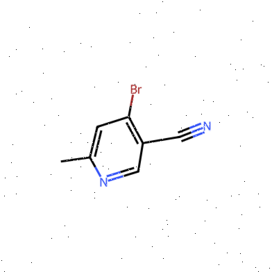 Cc1cc(Br)c(C#N)cn1